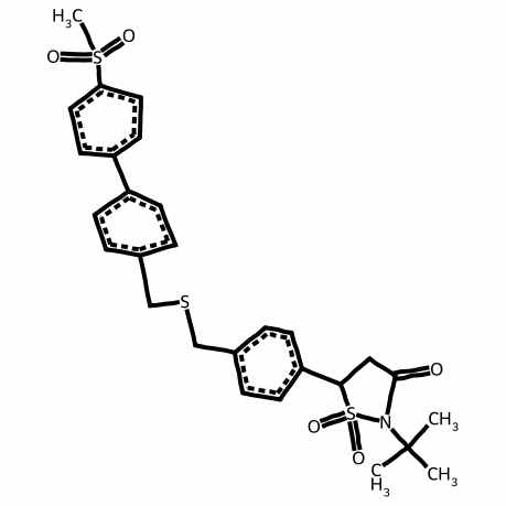 CC(C)(C)N1C(=O)CC(c2ccc(CSCc3ccc(-c4ccc(S(C)(=O)=O)cc4)cc3)cc2)S1(=O)=O